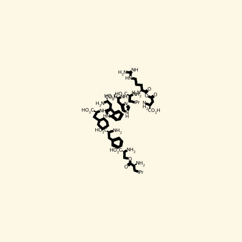 CC(C)C[C@H](N)C(=O)O.CC(C)C[C@H](N)C(=O)OC[C@@H](N)C(=O)O.N=C(N)NCCC[C@@H](N)C(=O)OC(=O)C[C@H](N)C(=O)O.N[C@@H](CC1CCCCC1)C(=O)O.N[C@@H](Cc1c[nH]c2ccccc12)C(=O)O.N[C@@H](Cc1ccccc1)C(=O)O.N[C@H](Cc1c[nH]cn1)C(=O)O